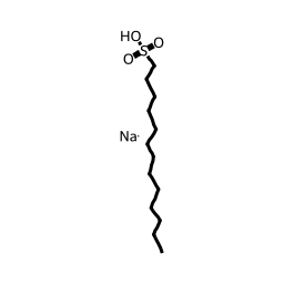 CCCCCCCCCCCCCS(=O)(=O)O.[Na]